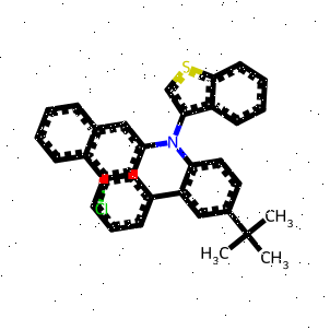 CC(C)(C)c1ccc(N(c2cc(Cl)c3ccccc3c2)c2csc3ccccc23)c(-c2ccccc2)c1